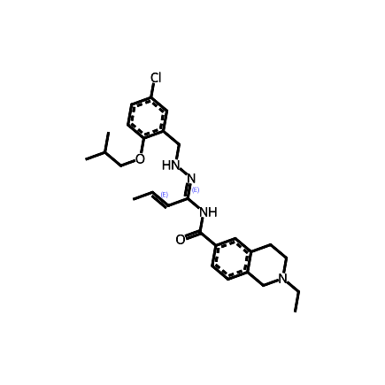 C/C=C/C(=N\NCc1cc(Cl)ccc1OCC(C)C)NC(=O)c1ccc2c(c1)CCN(CC)C2